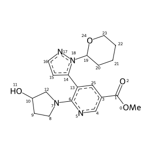 COC(=O)c1cnc(N2CCC(O)C2)c(-c2ccnn2C2CCCCO2)c1